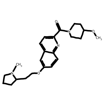 COC1CCN(C(=O)c2ccc3cc(OCCC4CCCN4C)ccc3n2)CC1